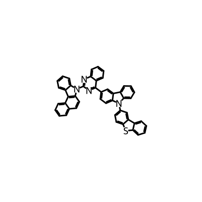 c1ccc2c(c1)ccc1c2c2ccccc2n1-c1nc(-c2ccc3c(c2)c2ccccc2n3-c2ccc3sc4ccccc4c3c2)c2ccccc2n1